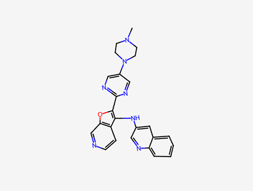 CN1CCN(c2cnc(-c3oc4cnccc4c3Nc3cnc4ccccc4c3)nc2)CC1